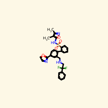 Cc1noc(NS(=O)(=O)c2ccccc2-c2ccc(-c3ncco3)cc2CNCC(F)(F)c2ccccc2)c1C